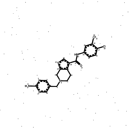 Nc1ncc(CN2CCc3c(C(=O)Nc4ccc(Cl)c(C(F)(F)F)c4)csc3C2)cn1